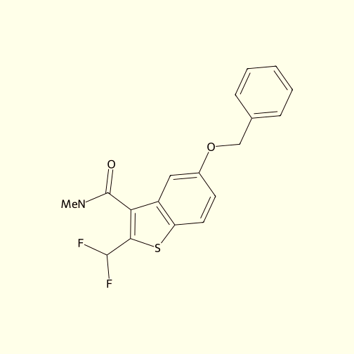 CNC(=O)c1c(C(F)F)sc2ccc(OCc3ccccc3)cc12